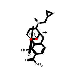 CN(CC1CC1)C1CC[C@]23CC(=O)CC[C@@]2(O)[C@H]1Cc1ccc(C(N)=O)c(O)c13